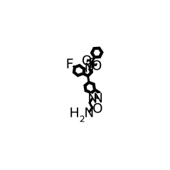 NC(=O)Cn1ncc2cc(-c3cn(S(=O)(=O)c4ccccc4)c4cc(F)ccc34)ccc21